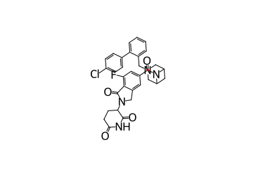 O=C1CCC(N2Cc3cc(C(=O)N4C5CC4CN(Cc4ccccc4-c4ccc(Cl)cc4)C5)cc(F)c3C2=O)C(=O)N1